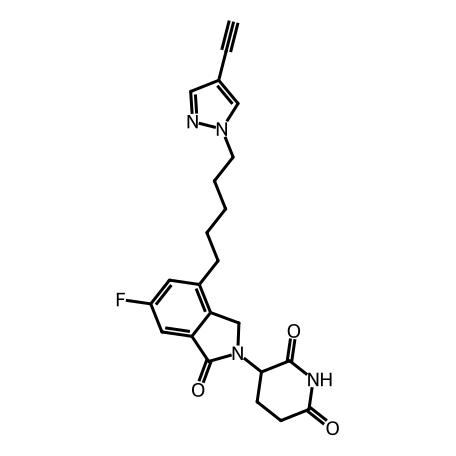 C#Cc1cnn(CCCCCc2cc(F)cc3c2CN(C2CCC(=O)NC2=O)C3=O)c1